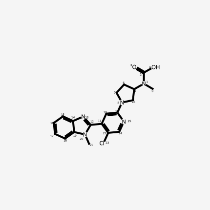 CN(C(=O)O)C1CCN(c2cc(-c3nc4ccccc4n3C)c(Cl)cn2)C1